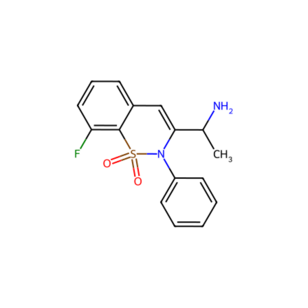 CC(N)C1=Cc2cccc(F)c2S(=O)(=O)N1c1ccccc1